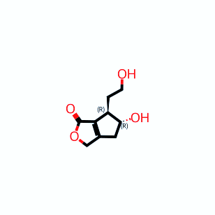 O=C1OCC2=C1[C@@H](CCO)[C@H](O)C2